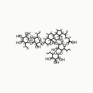 CCC1O[C@@H](OC2C(CC)O[C@H](OC3CC4C(CCC5CC(O[C@H]6OC(CC)C(O[C@@H]7OC(CC)C(O)C(O)C7O)C(O)C6O)CCC54C)C4CCC(C(C)CCC(=O)O)C34C)C(O)C2O)C(O)C(O)C1O